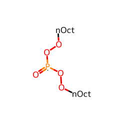 CCCCCCCCOO[P](=O)OOCCCCCCCC